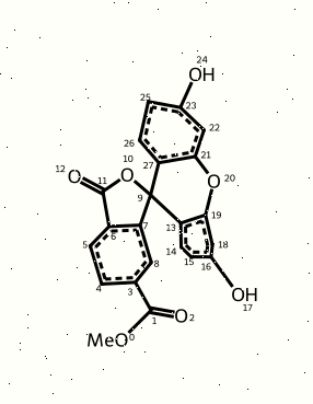 COC(=O)c1ccc2c(c1)C1(OC2=O)c2ccc(O)cc2Oc2cc(O)ccc21